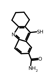 NC(=O)c1ccc2nc3c(c(S)c2c1)CCCC3